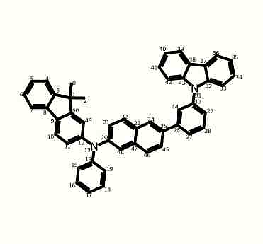 CC1(C)c2ccccc2-c2ccc(N(c3ccccc3)c3ccc4cc(-c5cccc(-n6c7ccccc7c7ccccc76)c5)ccc4c3)cc21